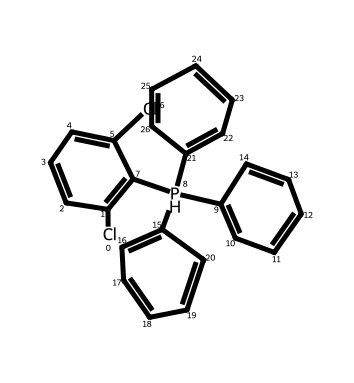 Clc1cccc(Cl)c1[PH](c1ccccc1)(c1ccccc1)c1ccccc1